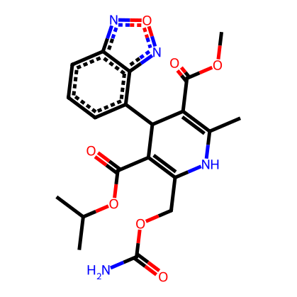 COC(=O)C1=C(C)NC(COC(N)=O)=C(C(=O)OC(C)C)C1c1cccc2nonc12